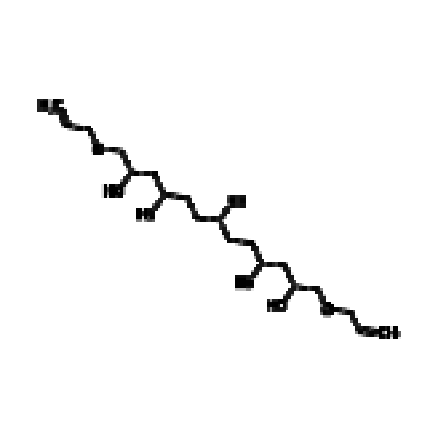 [CH]=CCOCC(O)CC(S)CCC(S)CCC(S)CC(O)COCC=C